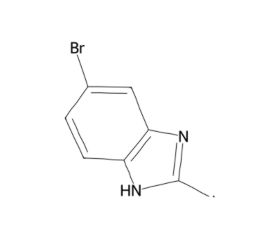 [CH2]c1nc2cc(Br)ccc2[nH]1